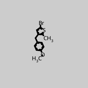 COc1ccc(Cc2cc(Br)sc2C)cc1